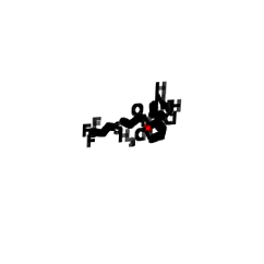 CCN(C(=O)CCSCCC(F)(F)F)C1=CNNC1(Cl)c1cccnc1